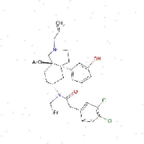 C=CCN1CC[C@@]2(c3cccc(O)c3)C[C@H](N(CC(C)C)C(=O)Cc3ccc(Cl)c(Cl)c3)CC[C@]2(OC(C)=O)C1